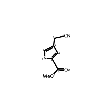 COC(=O)c1cc(CC#N)cs1